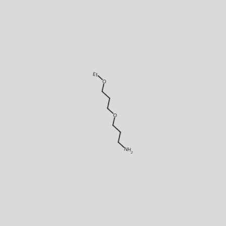 CCOCCCOCCCN